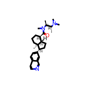 C[C@H]([C@H](C)N(C)C(=O)[C@@H]1CCC[C@]2(C)[C@@H](c3ccc4ccncc4c3)CC[C@@H]12)N(C)C